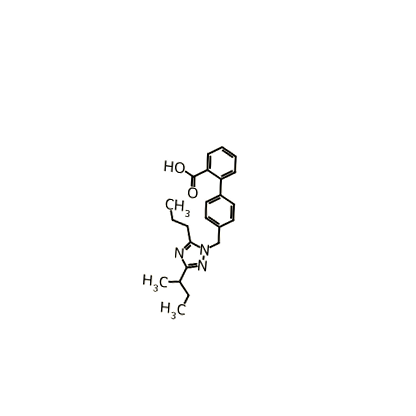 CCCc1nc(C(C)CC)nn1Cc1ccc(-c2ccccc2C(=O)O)cc1